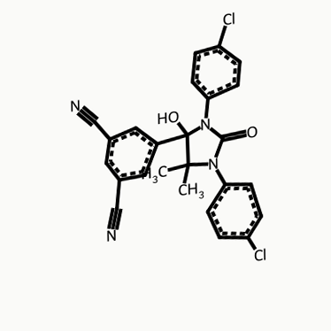 CC1(C)N(c2ccc(Cl)cc2)C(=O)N(c2ccc(Cl)cc2)C1(O)c1cc(C#N)cc(C#N)c1